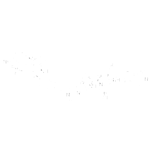 Cc1ncsc1-c1ccc([C@@H](NC(=O)[C@@H]2C[C@@H](O)CN2C(=O)[C@@H](NC(=O)CN2CCN(CCCc3ccc(C(=O)N[C@H]4C(C)(C)[C@H](Oc5ccc(C#N)c(C(F)(F)F)c5)C4(C)C)cc3)CC2)C(C)(C)C)C2COC2)cc1